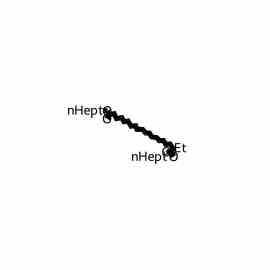 CCCCCCCOC(=O)CCCCCCCCCCCCCCCCCC(CC)C(=O)OCCCCCCC